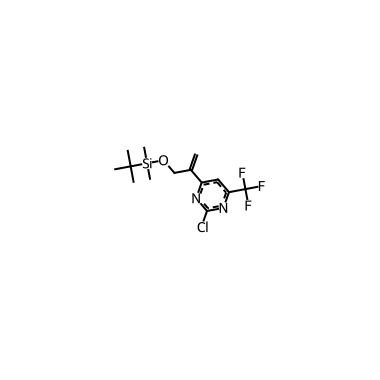 C=C(CO[Si](C)(C)C(C)(C)C)c1cc(C(F)(F)F)nc(Cl)n1